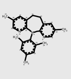 Cc1cc(C)c(N2c3ncc(C)cc3CCc3cc(C)cnc32)c(C)c1